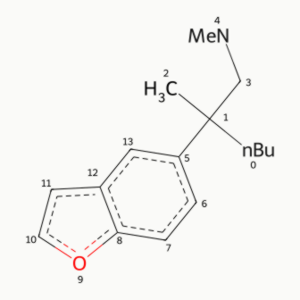 CCCCC(C)(CNC)c1ccc2occc2c1